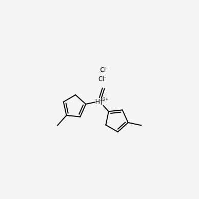 [CH2]=[Hf+2]([C]1=CC(C)=CC1)[C]1=CC(C)=CC1.[Cl-].[Cl-]